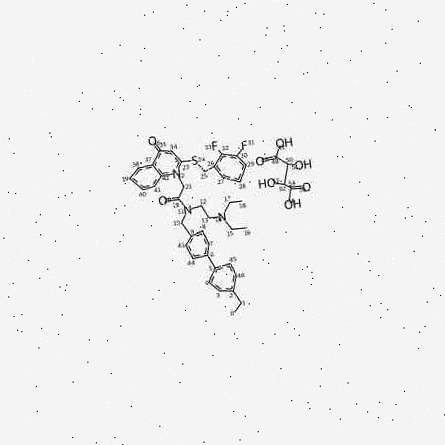 CCc1ccc(-c2ccc(CN(CCN(CC)CC)C(=O)Cn3c(SCc4cccc(F)c4F)cc(=O)c4ccccc43)cc2)cc1.O=C(O)C(O)C(O)C(=O)O